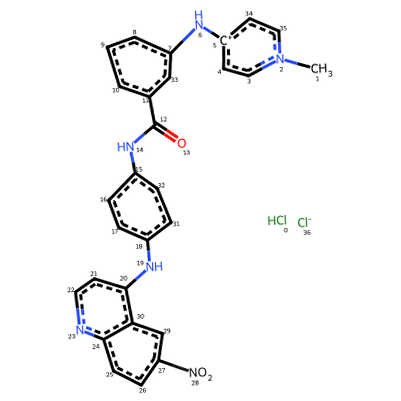 Cl.Cn1cc[c+](Nc2cccc(C(=O)Nc3ccc(Nc4ccnc5ccc([N+](=O)[O-])cc45)cc3)c2)cc1.[Cl-]